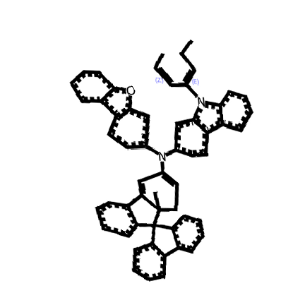 C/C=C\C(=C/CC)n1c2ccccc2c2ccc(N(C3=CCC4(C)C(=C3)c3ccccc3C43c4ccccc4-c4ccccc43)c3ccc4c(c3)oc3ccccc34)cc21